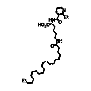 CC/C=C\C/C=C\C/C=C\C/C=C\C/C=C\C/C=C\CCC(=O)NCCCC[C@H](NC(=O)c1cccnc1CC)C(=O)O